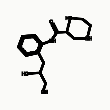 O=C(Nc1ccccc1CC(O)CO)C1CNCCN1